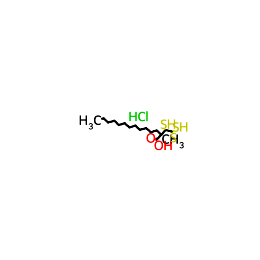 CCCCCCCCCCCCC(C)(C(=O)O)C(S)C(=S)S.Cl